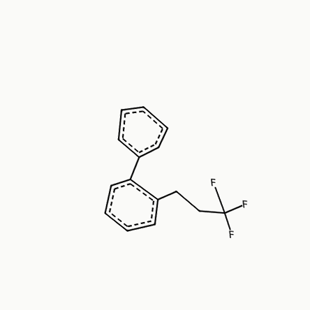 FC(F)(F)CCc1ccccc1-c1ccccc1